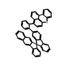 c1ccc2c(c1)Oc1ccc(-c3ccccc3-c3ccc4c(c3)C3(c5ccccc5-4)c4ccccc4-c4cc5ccccc5cc43)c3cccc-2c13